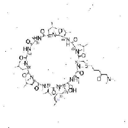 C/C=C/C[C@@H](C)[C@@H](O)[C@@H]1C(=O)N[C@H](CC)C(=O)N(C)[C@H](CSCCCC(=O)CN(C)C)C(=O)N(C)[C@@H](CC(C)C)C(=O)N[C@H](C(C)C)C(=O)N(C)[C@H](CC(C)C)C(=O)N[C@H](C)C(=O)N[C@@H](C)C(=O)N(C)[C@H](CC(C)C)C(=O)N(C)[C@H](CC(C)C)C(=O)N(C)[C@H](C(C)C)C(=O)N1C